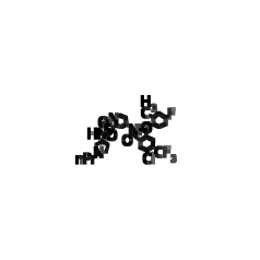 CCCN1CC[C@@H](NS(=O)(=O)c2cc(NC(=O)c3cc(Cl)c(C(F)(F)F)cc3Oc3ccc(F)cc3C)ccn2)C1